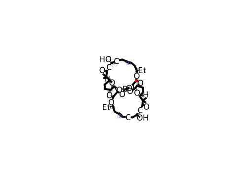 CC[C@H]1C/C=C\CC[C@H](O)CC(=O)C(C)(C)[C@@H]2CC[C@@H](C)[C@]3(O2)O[B-]24OC(C(=O)O1)[C@@]1(O[C@@H](CC[C@H]1C)C(C)(C)C(=O)C[C@@H](O)CC/C=C\C[C@H](CC)OC(=O)C3O2)O4